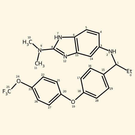 CCC(Nc1ccc2[nH]c(N(C)C)nc2c1)c1ccc(Oc2ccc(OC(F)(F)F)cc2)cc1